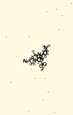 CCOC(=O)c1cc(N2CCC(C#N)CC2)c2c(C(C)C)nn(-c3cccc(N(C)C)c3)c2n1